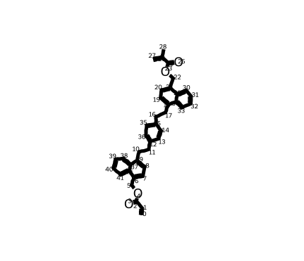 C=CC(=O)OCc1ccc(CCc2ccc(CCc3ccc(COC(=O)C(=C)C)c4ccccc34)cc2)c2ccccc12